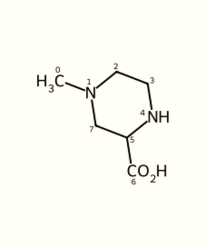 CN1CCNC(C(=O)O)C1